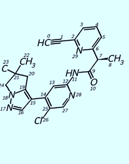 C#Cc1cccc([C@@H](C)C(=O)Nc2cc(-c3cnn4c3CC(C)(C)C4)c(Cl)cn2)n1